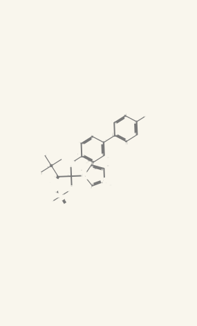 CC(C)(C)C(=O)C(Oc1ccc(-c2ccc(Cl)cc2)cc1)(OP(=O)(O)O)n1ccnc1